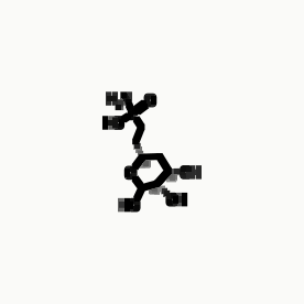 NP(=O)(O)CC[C@@H]1C[C@H](O)[C@H](O)C(O)O1